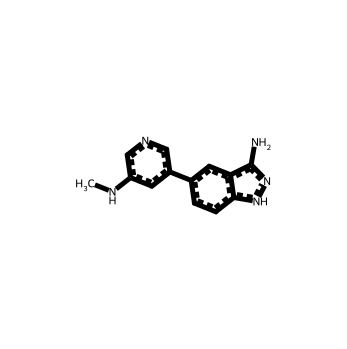 CNc1cncc(-c2ccc3[nH]nc(N)c3c2)c1